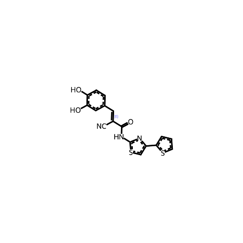 N#C/C(=C\c1ccc(O)c(O)c1)C(=O)Nc1nc(-c2cccs2)cs1